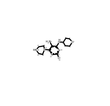 Nc1c(NC2CCOCC2)nc(Cl)nc1N1CCNCC1